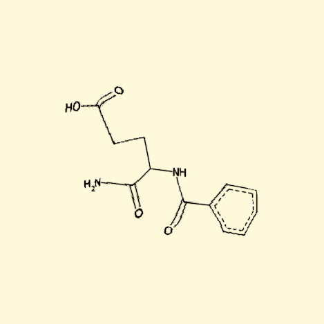 NC(=O)C(CCC(=O)O)NC(=O)c1ccccc1